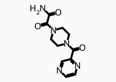 NC(=O)C(=O)N1CCN(C(=O)c2cnccn2)CC1